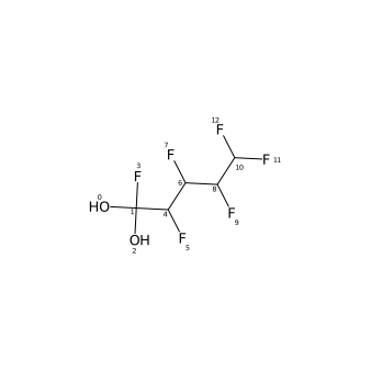 OC(O)(F)C(F)C(F)C(F)C(F)F